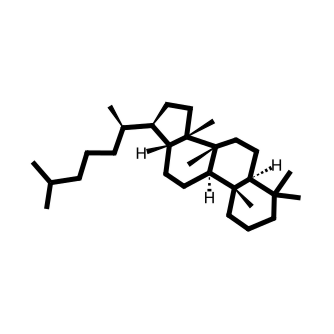 CC(C)CCC[C@@H](C)[C@H]1CC[C@@]2(C)[C@@H]1CC[C@@H]1[C@@]3(C)CCCC(C)(C)[C@@H]3CC[C@]12C